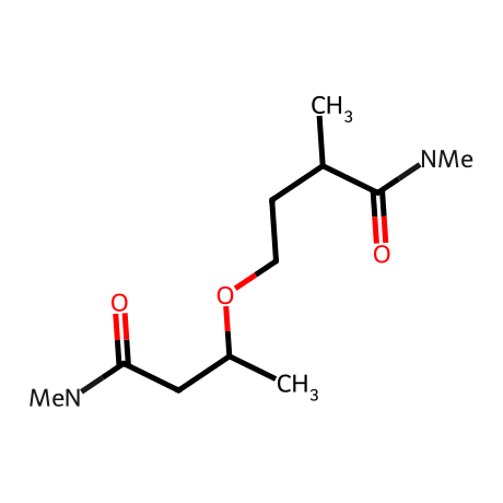 CNC(=O)CC(C)OCCC(C)C(=O)NC